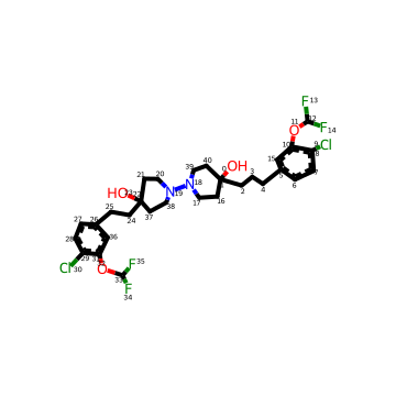 OC1(CCCc2ccc(Cl)c(OC(F)F)c2)CCN(N2CCC(O)(CCc3ccc(Cl)c(OC(F)F)c3)CC2)CC1